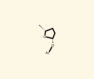 CC(=O)O[C@H]1CC[C@@H](C)O1